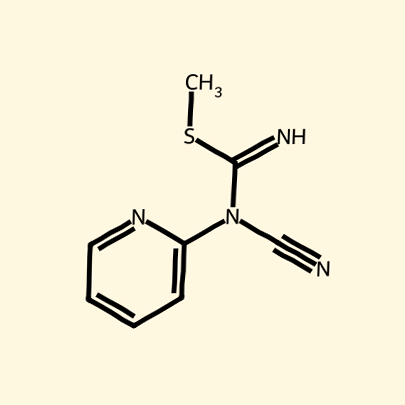 CSC(=N)N(C#N)c1ccccn1